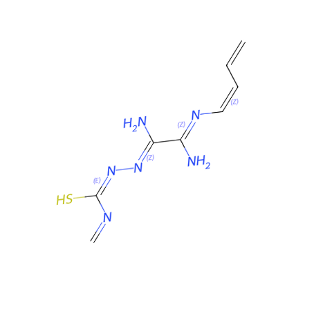 C=C\C=C/N=C(N)/C(N)=N/N=C(/S)N=C